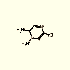 NC1C=NC(Cl)=CN1N